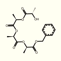 C[C@H](O)C(=O)O[C@H](C)C(=O)O[C@H](C)C(=O)O[C@H](C)C(=O)OCc1ccccc1